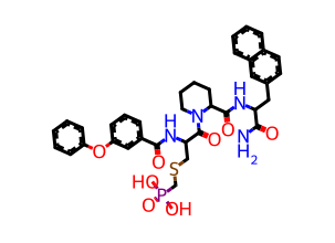 NC(=O)C(Cc1ccc2ccccc2c1)NC(=O)C1CCCCN1C(=O)C(CSCP(=O)(O)O)NC(=O)c1cccc(Oc2ccccc2)c1